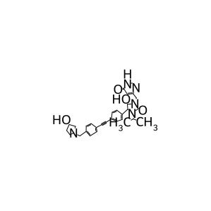 CC(C)N1C(=O)N(Cc2nc[nH]c(=O)c2O)CC1c1ccc(C#Cc2ccc(CN3CCC(O)C3)cc2)cc1